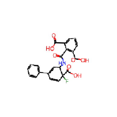 O=C(O)c1cccc(C(=O)O)c1C(=O)NC1C=C(c2ccccc2)C=CC1(F)C(=O)O